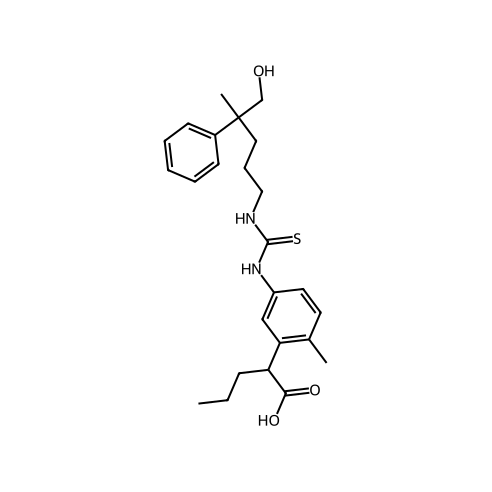 CCCC(C(=O)O)c1cc(NC(=S)NCCCC(C)(CO)c2ccccc2)ccc1C